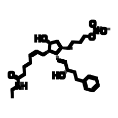 CCNC(=O)CCC/C=C\C[C@@H]1[C@@H](/C=C/[C@@H](O)CCc2ccccc2)[C@H]([CH]CCCO[N+](=O)[O-])C[C@@H]1O